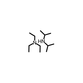 CC(C)NC(C)C.CCN(CC)CC